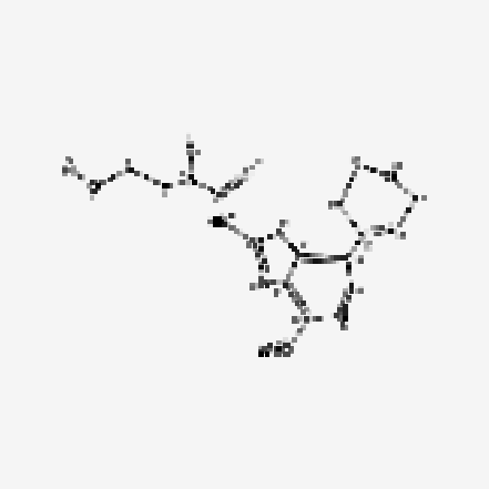 CCOCCN(CC)C(=O)Nc1nc2c(OC)ncc(C3=CCOCC3)c2s1